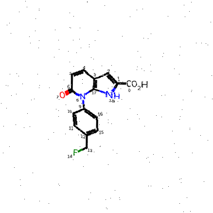 O=C(O)c1cc2ccc(=O)n(-c3ccc(CF)cc3)c2[nH]1